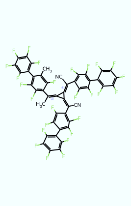 C/C(=C1\C(=C(C#N)c2c(F)c(F)c(-c3c(F)c(F)c(F)c(F)c3F)c(F)c2F)\C1=C(\C#N)c1c(F)c(F)c(-c2c(F)c(F)c(F)c(F)c2F)c(F)c1F)c1c(F)c(C)c(-c2c(F)c(F)c(F)c(F)c2F)c(F)c1F